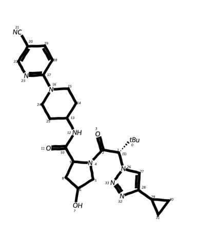 CC(C)(C)[C@@H](C(=O)N1CC(O)CC1C(=O)NC1CCN(c2ccc(C#N)cn2)CC1)n1cc(C2CC2)nn1